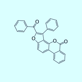 O=C(c1ccccc1)c1oc2ccc3c4ccccc4c(=O)oc3c2c1-c1ccccc1